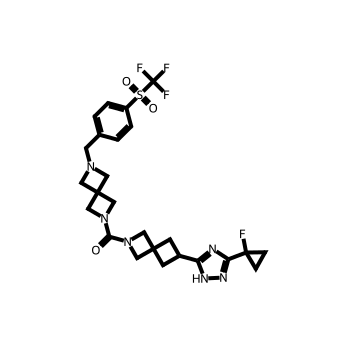 O=C(N1CC2(CC(c3nc(C4(F)CC4)n[nH]3)C2)C1)N1CC2(CN(Cc3ccc(S(=O)(=O)C(F)(F)F)cc3)C2)C1